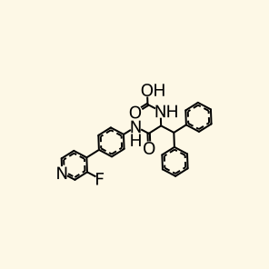 O=C(O)NC(C(=O)Nc1ccc(-c2ccncc2F)cc1)C(c1ccccc1)c1ccccc1